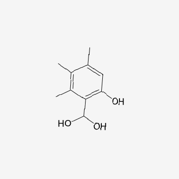 Cc1cc(O)c(C(O)O)c(C)c1C